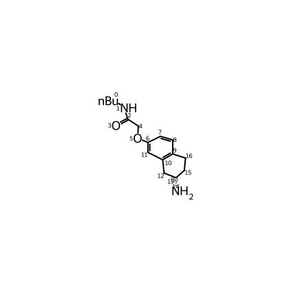 CCCCNC(=O)COc1ccc2c(c1)C[C@@H](N)CC2